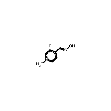 C[n+]1ccc(C=NO)cc1.[I-]